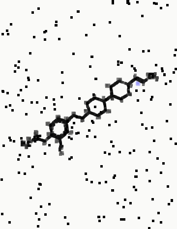 C/C=C/C1CCC(C2CCC(CCc3ccc(COC)c(F)c3)CC2)CC1